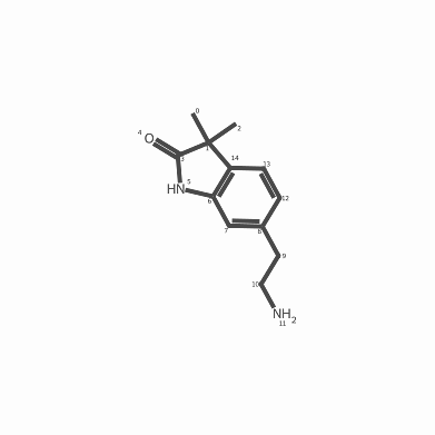 CC1(C)C(=O)Nc2cc(CCN)ccc21